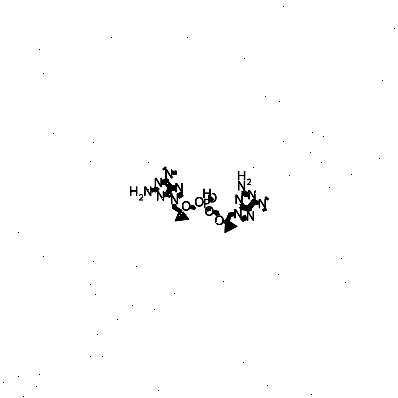 CN(C)c1nc(N)nc2c1ncn2CC1(OCO[PH](=O)OCOC2(Cn3cnc4c(N(C)C)nc(N)nc43)CC2)CC1